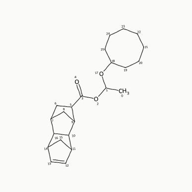 CC(OC(=O)C1CC2CC1C1C3C=CC(C3)C21)OC1CCCCCCC1